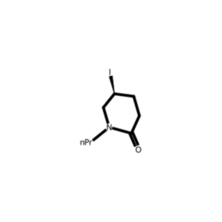 CCCN1C[C@@H](I)CCC1=O